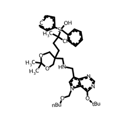 CCCCOCn1cc(CNCC2(CCC(C)(C)[Si](O)(c3ccccc3)c3ccccc3)COC(C)(C)OC2)c2ncnc(OC(C)(C)C)c21